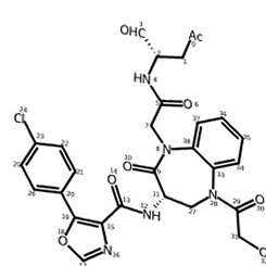 CC(=O)C[C@@H](C=O)NC(=O)CN1C(=O)[C@@H](NC(=O)c2ncoc2-c2ccc(Cl)cc2)CN(C(=O)CO)c2ccccc21